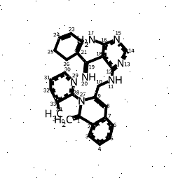 C=C1c2ccccc2C=C(CNc2ncnc(N)c2C(=N)C2=CC=CCC2)N1c1ncccc1C